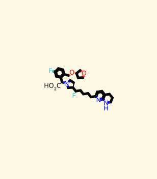 O=C(O)[C@H](c1cc(F)ccc1CO[C@H]1CCOC1)N1CC[C@@H]([C@@H](F)CCCCc2ccc3c(n2)NCCC3)C1